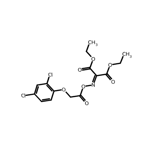 CCOC(=O)C(=NOC(=O)COc1ccc(Cl)cc1Cl)C(=O)OCC